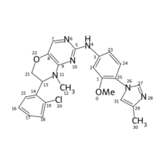 COc1cc(Nc2ncc3c(n2)N(C)C(c2ccccc2Cl)CO3)ccc1-n1cnc(C)c1